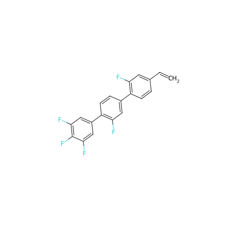 C=Cc1ccc(-c2ccc(-c3cc(F)c(F)c(F)c3)c(F)c2)c(F)c1